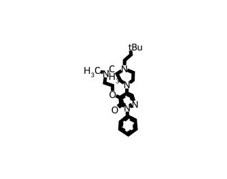 CN(C)CCOc1c(N2CCN(CCC(C)(C)C)CC2)cnn(-c2ccccc2)c1=O